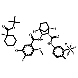 COc1cc(F)c(O[C@H]2CC[C@@](C)(C(=O)OC(C)(C)C)CC2)cc1C(=O)N[C@H]1[C@@H]2CC[C@@H](C2)[C@H]1C(=O)Nc1ccc(F)c(S(F)(F)(F)(F)F)c1